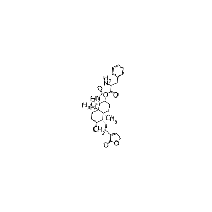 C=C1CC[C@H]2[C@@](C)(CC[C@@H](OC(=O)[C@@H](N)Cc3ccccc3)[C@@]2(C)NC=O)[C@@H]1C=CC1=CCOC1=O